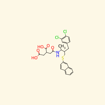 CC(NC(=O)CC(CC(=O)O)C(=O)O)C(CSc1ccc2ccccc2c1)Cc1ccc(Cl)c(Cl)c1